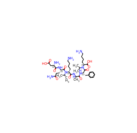 CC(C)N(C(=O)[C@H](Cc1ccccc1)NC(=O)[C@H](C)NC(=O)[C@H](CCCCN)N(C(=O)[C@H](CCC(N)=O)NC(=O)[C@@H](N)CC(=O)O)C(C)C)[C@@H](CCCCN)C(=O)O